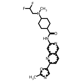 Cc1ncc(-c2ccc3cnc(NC(=O)C4CCC(N(C)CC(F)F)CC4)cc3n2)o1